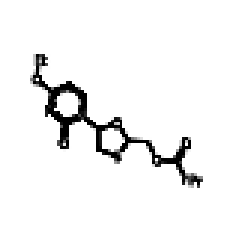 CCCC(=O)OCC1OC(n2ccc(OCC)nc2=O)CS1